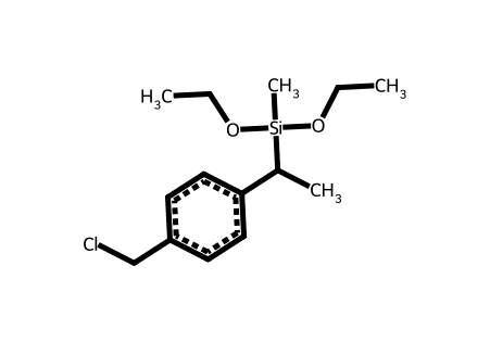 CCO[Si](C)(OCC)C(C)c1ccc(CCl)cc1